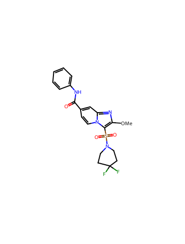 COc1nc2cc(C(=O)Nc3ccccc3)ccn2c1S(=O)(=O)N1CCC(F)(F)CC1